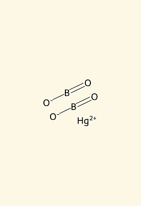 O=B[O-].O=B[O-].[Hg+2]